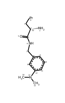 CC(C)C[C@H](N)C(=O)NCc1cccc(N(C)C)c1